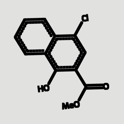 COC(=O)c1cc(Cl)c2ccccc2c1O